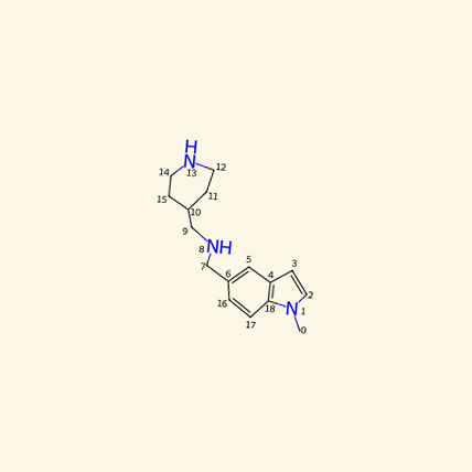 Cn1ccc2cc(CNCC3CCNCC3)ccc21